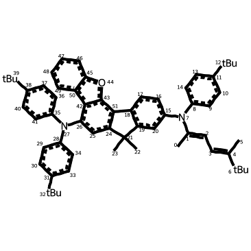 C/C(=C\C=C(/C)C(C)(C)C)N(c1ccc(C(C)(C)C)cc1)c1ccc2c(c1)C(C)(C)c1cc(N(c3ccc(C(C)(C)C)cc3)c3ccc(C(C)(C)C)cc3)c3c(oc4ccccc43)c1-2